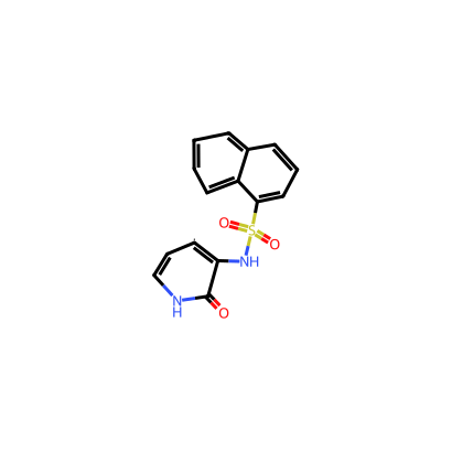 O=c1[nH]cc[c]c1NS(=O)(=O)c1cccc2ccccc12